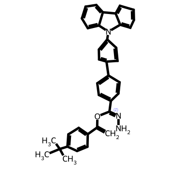 C=C(O/C(=N\N)c1ccc(-c2ccc(-n3c4ccccc4c4ccccc43)cc2)cc1)c1ccc(C(C)(C)C)cc1